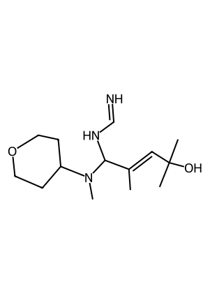 C/C(=C\C(C)(C)O)C(NC=N)N(C)C1CCOCC1